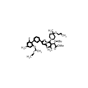 C=CCOC1(C)CCN(c2c([C@H](OC(C)(C)C)C(=O)OC)c(C)nc3cc(-c4cccc(-c5c(F)cc(C)cc5O[C@@H](C)CC=C)c4)nn23)CC1